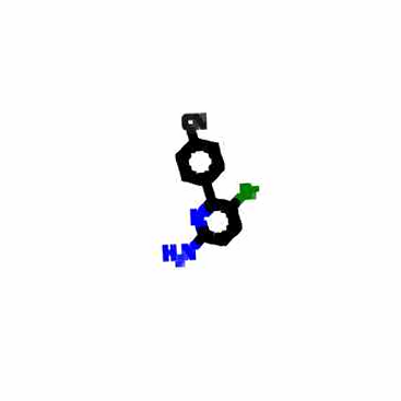 N#Cc1ccc(-c2nc(N)ccc2Br)cc1